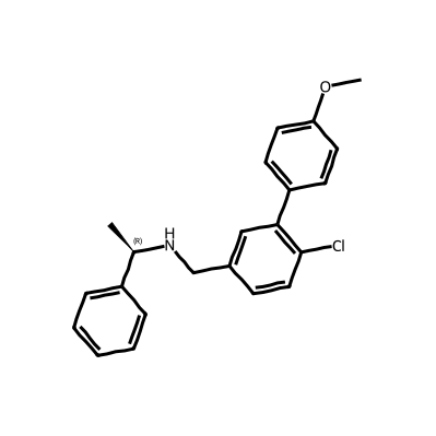 COc1ccc(-c2cc(CN[C@H](C)c3ccccc3)ccc2Cl)cc1